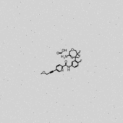 COCC#Cc1ccc(C(=O)Nc2ccc(F)c(C3(C)N=C(N)COCC3(F)F)c2)nc1.O=CO